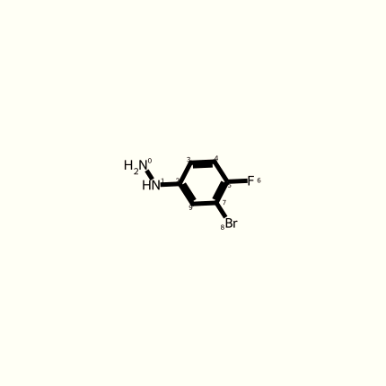 NNc1ccc(F)c(Br)c1